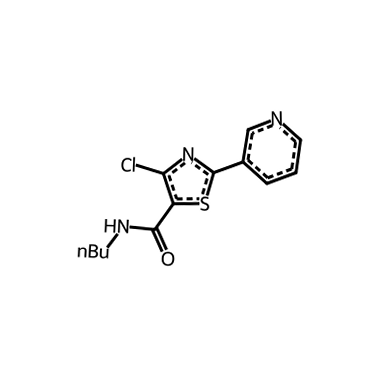 CCCCNC(=O)c1sc(-c2cccnc2)nc1Cl